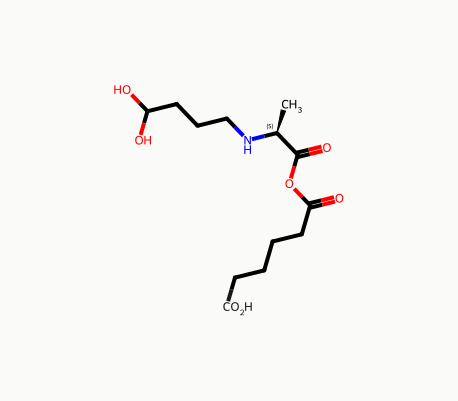 C[C@H](NCCCC(O)O)C(=O)OC(=O)CCCCC(=O)O